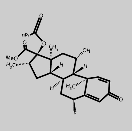 CCCC(=O)O[C@]1(C(=O)OC)[C@@H](C)C[C@H]2[C@@H]3C[C@H](F)C4=CC(=O)C=C[C@]4(C)[C@H]3[C@@H](O)C[C@@]21C